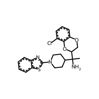 CC(N)(C1CCN(c2nc3ccccc3s2)CC1)C1COc2cccc(Cl)c2O1